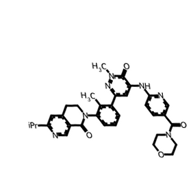 Cc1c(-c2cc(Nc3ccc(C(=O)N4CCOCC4)cn3)c(=O)n(C)n2)cccc1N1CCc2cc(C(C)C)ncc2C1=O